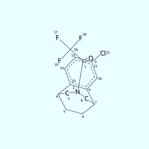 O=C(N1CC2CCC(C1)c1cc(Cl)ccc12)C(F)(F)F